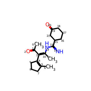 CC(=O)/C(C1=C(C)CCC1)=C(/C)NC(=N)C1CCCC(=O)C1